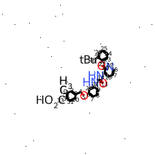 Cc1cc(COc2cccc(NC(=O)Nc3cccnc3Oc3ccccc3C(C)(C)C)c2)ccc1C(=O)O